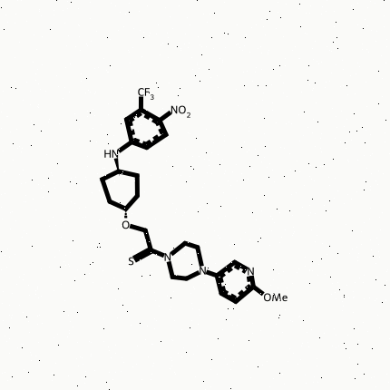 COc1ccc(N2CCN(C(=S)CO[C@H]3CC[C@H](Nc4ccc([N+](=O)[O-])c(C(F)(F)F)c4)CC3)CC2)cn1